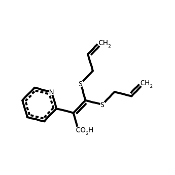 C=CCSC(SCC=C)=C(C(=O)O)c1ccccn1